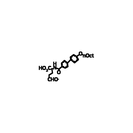 CCCCCCCCOc1ccc(-c2ccc(C(=O)N[C@@H](CC[C]=O)C(=O)O)cc2)cc1